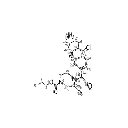 CCCOC(=O)N1CCN(C(=O)c2ccc3c(Cl)c4c(nc3c2)CC(CN)CC4)[C@@H](C)C1